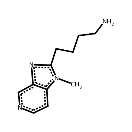 Cn1c(CCCCN)nc2cnccc21